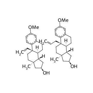 C=CC[C@]12CC[C@]3(C)C[C@H](O)C[C@H]3[C@@H]1CCc1cc(OC)ccc12.C=C[C@]12CC[C@]3(C)C[C@H](O)C[C@H]3[C@@H]1CCc1cc(OC)ccc12